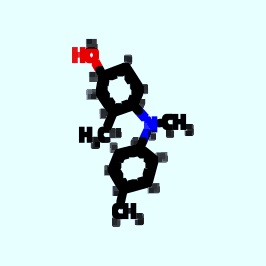 Cc1ccc(N(C)c2ccc(O)cc2C)cc1